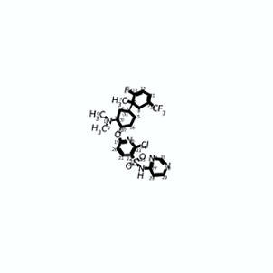 CN(C)[C@H]1C[C@@H](C2(C)CC(C(F)(F)F)=CC=C2F)CC[C@@H]1Oc1ccc(S(=O)(=O)Nc2ccncn2)c(Cl)n1